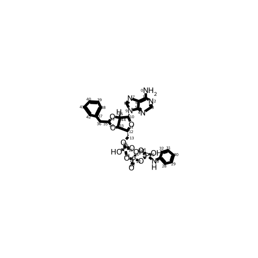 Nc1ncnc2c1ncn2[C@@H]1O[C@H](COP(=O)(O)OP(=O)(O)OP(=O)(O)Nc2ccccc2)C2OC(Cc3ccccc3)O[C@@H]21